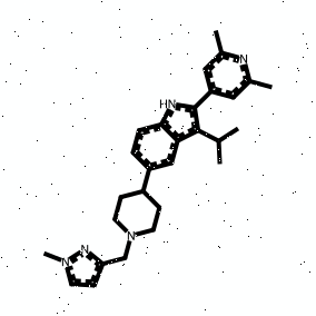 Cc1cc(-c2[nH]c3ccc(C4CCN(Cc5ccn(C)n5)CC4)cc3c2C(C)C)cc(C)n1